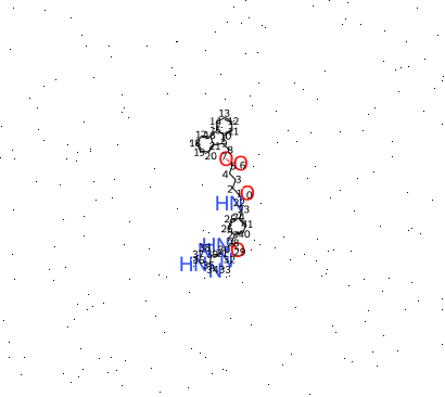 O=C(CCCC(=O)OCC1c2ccccc2-c2ccccc21)NCc1ccc(C(=O)Nc2ncnc3[nH]cnc23)cc1